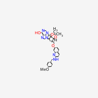 COc1ccc(CNc2ccc3ccc(OC[C@H]4C[C@@H](n5cnc6c(O)ncnc65)[C@@H]5OC(C)(C)O[C@H]45)cc3n2)cc1